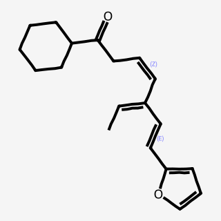 CC=C(/C=C\CC(=O)C1CCCCC1)/C=C/c1ccco1